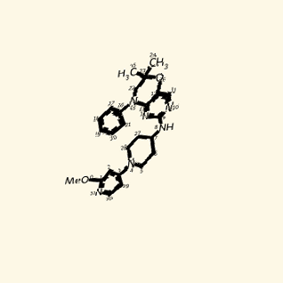 COc1cc(N2CCC(Nc3ncc4c(n3)N(c3ccccc3)CC(C)(C)O4)CC2)ccn1